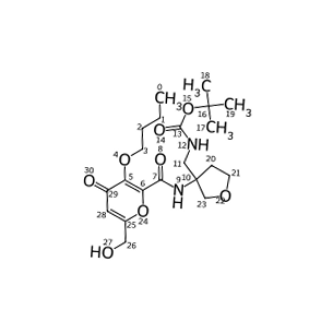 CCCCOc1c(C(=O)NC2(CNC(=O)OC(C)(C)C)CCOC2)oc(CO)cc1=O